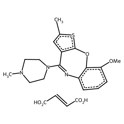 COc1cccc2c1Oc1sc(C)cc1C(N1CCN(C)CC1)=N2.O=C(O)/C=C/C(=O)O